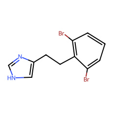 Brc1cccc(Br)c1CCc1c[nH]cn1